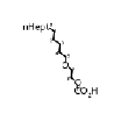 CCCCCCCCCCCCOCCOC(=O)O